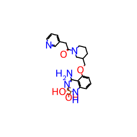 NC1=NS(O)(O)Nc2cccc(OCC3CCCN(C(=O)Cc4cccnc4)C3)c21